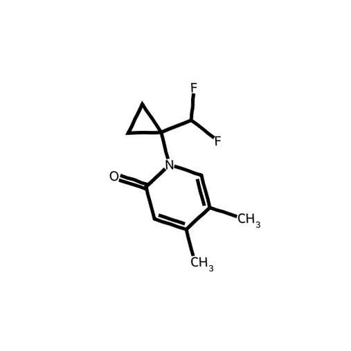 Cc1cc(=O)n(C2(C(F)F)CC2)cc1C